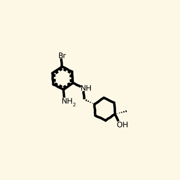 C[C@]1(O)CC[C@H](CNc2cc(Br)ccc2N)CC1